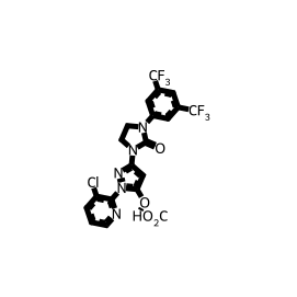 O=C(O)Oc1cc(N2CCN(c3cc(C(F)(F)F)cc(C(F)(F)F)c3)C2=O)nn1-c1ncccc1Cl